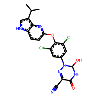 CC(C)c1c[nH]c2ccc(Oc3c(Cl)cc(N4N=C(C#N)C(=O)NC4O)cc3Cl)nc12